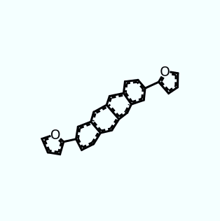 c1coc(-c2ccc3cc4cc5cc(-c6ccco6)ccc5cc4cc3c2)c1